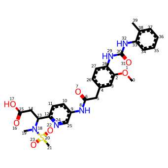 COc1cc(CC(=O)Nc2ccc(C(CC(=O)O)N(C)S(C)(=O)=O)nc2)ccc1NC(=O)Nc1ccccc1C